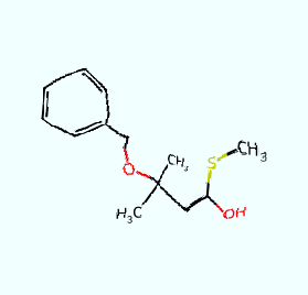 CSC(O)CC(C)(C)OCc1ccccc1